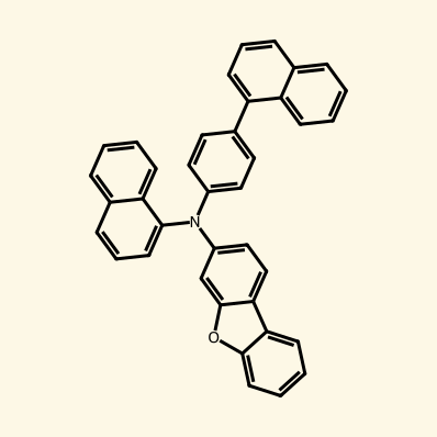 c1ccc2c(-c3ccc(N(c4ccc5c(c4)oc4ccccc45)c4cccc5ccccc45)cc3)cccc2c1